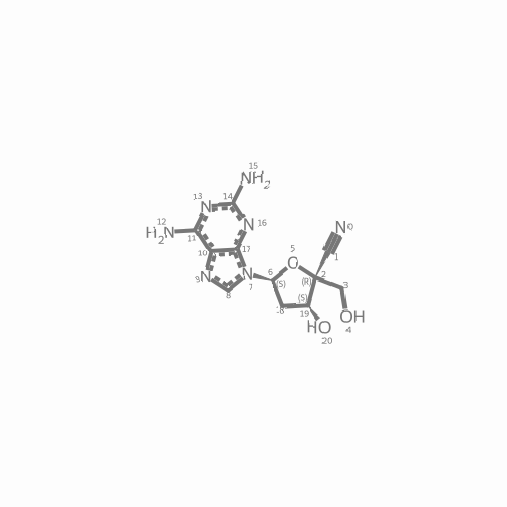 N#C[C@]1(CO)O[C@H](n2cnc3c(N)nc(N)nc32)C[C@@H]1O